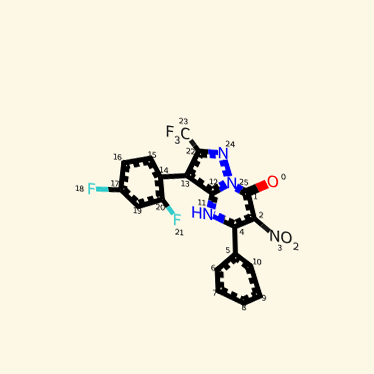 O=c1c([N+](=O)[O-])c(-c2ccccc2)[nH]c2c(-c3ccc(F)cc3F)c(C(F)(F)F)nn12